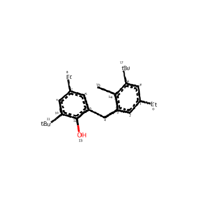 CCc1cc(Cc2cc(CC)cc(C(C)(C)C)c2O)c(C)c(C(C)(C)C)c1